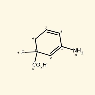 NC1=CC(F)(C(=O)O)CC=C1